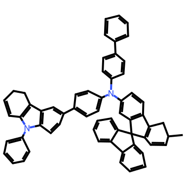 CC1C=CC2=C(C1)c1ccc(N(c3ccc(-c4ccccc4)cc3)c3ccc(-c4ccc5c(c4)c4c(n5-c5ccccc5)C=CCC4)cc3)cc1C21c2ccccc2-c2ccccc21